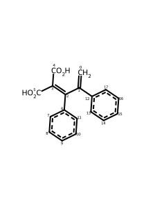 C=C(C(=C(C(=O)O)C(=O)O)c1ccccc1)c1ccccc1